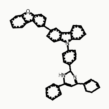 C1=CCCC(C2=NC(c3ccc(-n4c5ccccc5c5cc(-c6ccc7oc8ccccc8c7c6)ccc54)cc3)NC(c3ccccc3)=C2)=C1